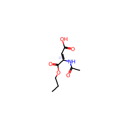 CCCOC(=O)/C(=C/C(=O)O)NC(C)=O